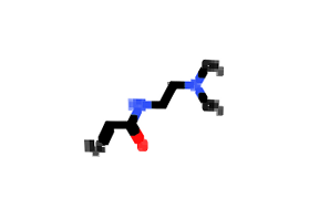 C=CC(=O)NC[CH]N(C)C